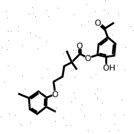 CC(=O)c1ccc(O)c(OC(=O)C(C)(C)CCCOc2cc(C)ccc2C)c1